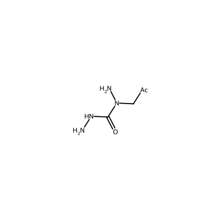 CC(=O)CN(N)C(=O)NN